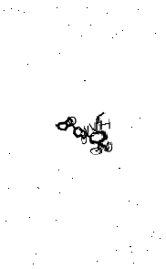 CCCNc1ccc([N+](=O)[O-])cc1-c1nc2cc(-c3occ4ccccc34)ccc2o1